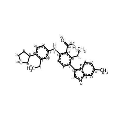 CCc1nc(Nc2ccc(-c3cnc4cc(C)ccn34)c(CC)c2C(C)=O)ccc1C1CCOC1